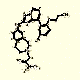 CCCOc1ccc(Cl)cc1-c1cccn2nc(Nc3ccc4c(c3)CCN(CC(=O)N(C)C)CC4)nc12